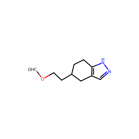 O=COCCC1CCc2[nH]ncc2C1